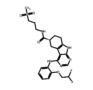 CS(=O)(=O)CCCNC(=O)[C@H]1CCc2[nH]c3ncnc(Nc4ccccc4OCC(F)F)c3c2C1